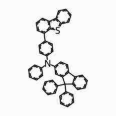 c1ccc(N(c2ccc(-c3cccc4c3sc3ccccc34)cc2)c2ccc3c(c2)C(c2ccccc2)(c2ccccc2)c2ccccc2-3)cc1